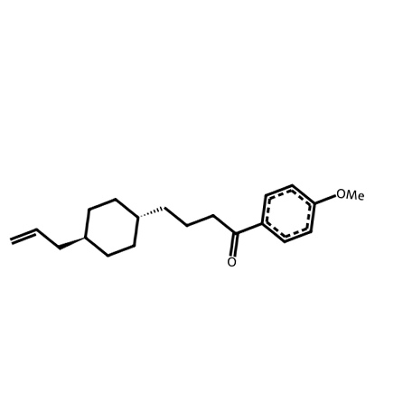 C=CC[C@H]1CC[C@H](CCCC(=O)c2ccc(OC)cc2)CC1